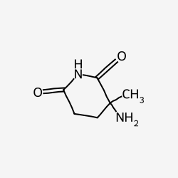 CC1(N)CCC(=O)NC1=O